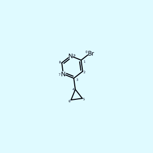 Brc1cc(C2CC2)ncn1